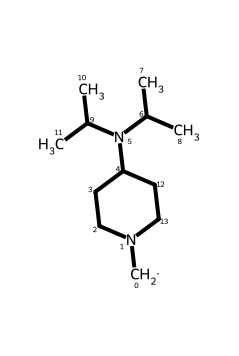 [CH2]N1CCC(N(C(C)C)C(C)C)CC1